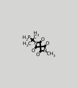 CN1C(=O)C2(C1=O)C(=O)N(C(C)(C)P)C2=O